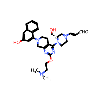 CN(C)CCOc1nc2c(c(N3CCN(C=CC=O)C[C@H]3CO)n1)CCN(c1cc(O)cc3ccccc13)C2